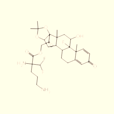 CC1(C)OC2CC3C4CCC5=CC(=O)C=CC5(C)C4(F)C(O)CC3(C)C2(C(=O)COC(=O)C(N)(CCCN)C(F)F)O1